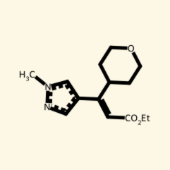 CCOC(=O)/C=C(/c1cnn(C)c1)C1CCOCC1